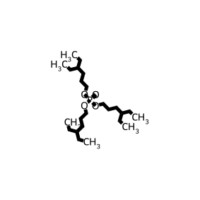 CCC(CC)CCCOP(=O)(OCCCC(CC)CC)OCCCC(CC)CC